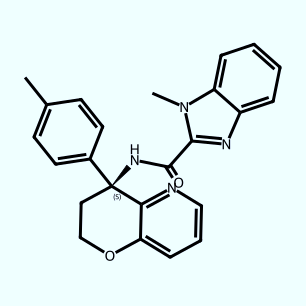 Cc1ccc([C@@]2(NC(=O)c3nc4ccccc4n3C)CCOc3cccnc32)cc1